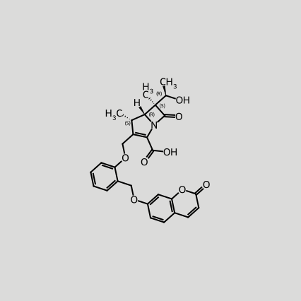 C[C@H]1C(COc2ccccc2COc2ccc3ccc(=O)oc3c2)=C(C(=O)O)N2C(=O)[C@](C)([C@@H](C)O)[C@@H]12